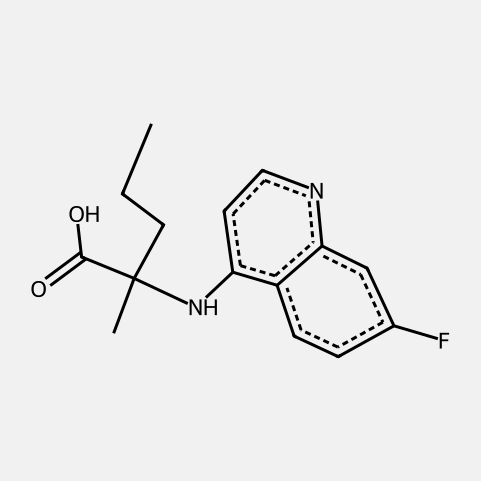 CCCC(C)(Nc1ccnc2cc(F)ccc12)C(=O)O